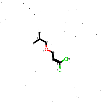 CC(C)COCC=C(Cl)Cl